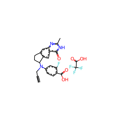 C#CCN(c1ccc(C(=O)O)c(F)c1)C1CCc2cc3nc(C)[nH]c(=O)c3cc21.O=C(O)C(F)(F)F